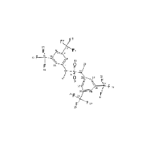 CC(c1cc(C(F)(F)F)cc(C(F)(F)F)c1)S(=O)(=O)C(C)c1cc(C(F)(F)F)cc(C(F)(F)F)c1